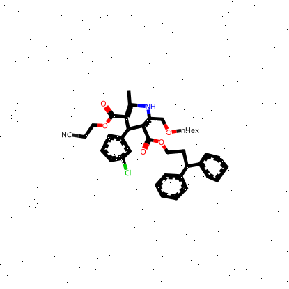 CCCCCCOCC1=C(C(=O)OCCC(c2ccccc2)c2ccccc2)C(c2cccc(Cl)c2)C(C(=O)OCCC#N)=C(C)N1